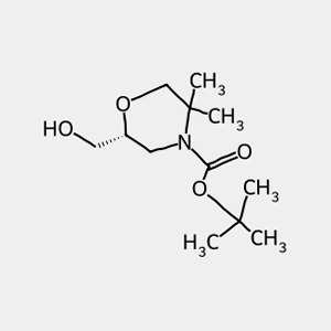 CC(C)(C)OC(=O)N1C[C@H](CO)OCC1(C)C